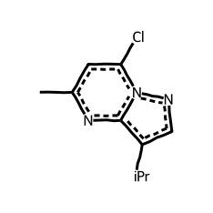 Cc1cc(Cl)n2ncc(C(C)C)c2n1